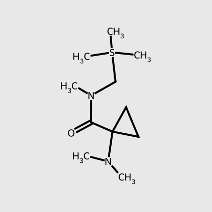 CN(CS(C)(C)C)C(=O)C1(N(C)C)CC1